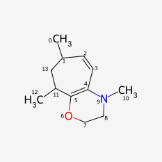 CC1C=CC2=C(OCCN2C)C(C)C1